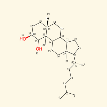 CC(C)CCC[C@@H](C)C1CCC2C3CC[C@H]4CC[C@H](O)C(O)C4(C)C3CCC21C